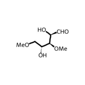 COC[C@@H](O)[C@H](OC)[C@@H](O)C=O